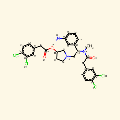 CN(C(=O)Cc1ccc(Cl)c(Cl)c1)[C@@H](CN1CCC(OC(=O)Cc2ccc(Cl)c(Cl)c2)C1)c1cccc(N)c1